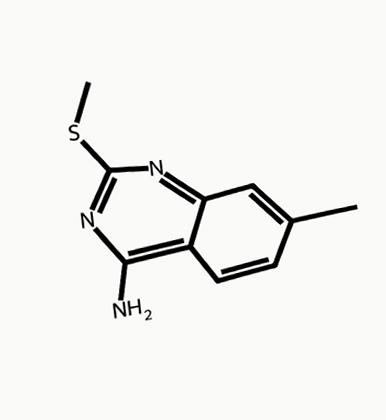 CSc1nc(N)c2ccc(C)cc2n1